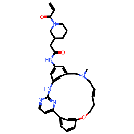 C=CC(=O)N1CCCC(CC(=O)Nc2cc3cc(c2)Nc2nccc(n2)-c2cccc(c2)OCC/C=C/CN(C)C3)C1